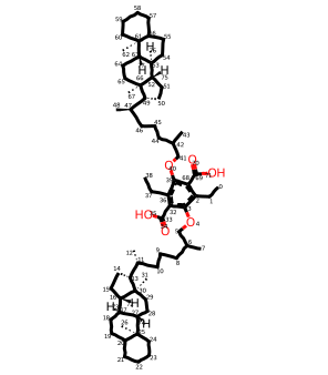 CCc1c(OCC(C)CCC[C@@H](C)[C@H]2CC[C@H]3[C@@H]4CCC5CCCC[C@]5(C)[C@H]4CC[C@]23C)c(C(=O)O)c(CC)c(OCC(C)CCC[C@@H](C)[C@H]2CC[C@H]3[C@@H]4CCC5CCCC[C@]5(C)[C@H]4CC[C@]23C)c1C(=O)O